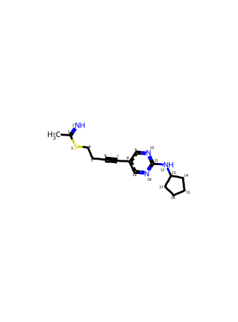 CC(=N)SCCC#Cc1cnc(NC2CCCC2)nc1